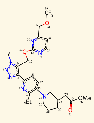 CCc1nc(-c2nnn(C)c2COc2nccc(COC(F)(F)F)n2)ccc1N1CCCC(CC(=O)OC)C1